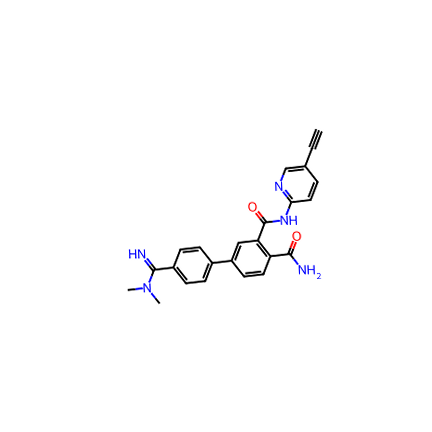 C#Cc1ccc(NC(=O)c2cc(-c3ccc(C(=N)N(C)C)cc3)ccc2C(N)=O)nc1